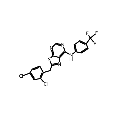 FC(F)(F)c1ccc(Nc2ncnc3sc(Cc4ccc(Cl)cc4Cl)nc23)cc1